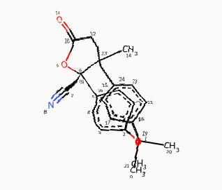 COc1ccc([C@]2(C#N)OC(=O)CC2(C)c2ccc(C(C)C)cc2)cc1